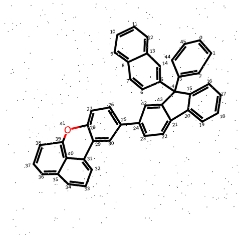 c1ccc(C2(c3ccc4ccccc4c3)c3ccccc3-c3ccc(-c4ccc5c(c4)-c4cccc6cccc(c46)O5)cc32)cc1